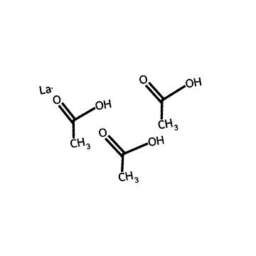 CC(=O)O.CC(=O)O.CC(=O)O.[La]